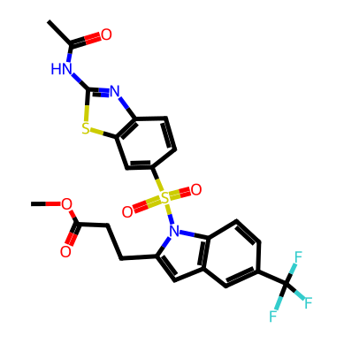 COC(=O)CCc1cc2cc(C(F)(F)F)ccc2n1S(=O)(=O)c1ccc2nc(NC(C)=O)sc2c1